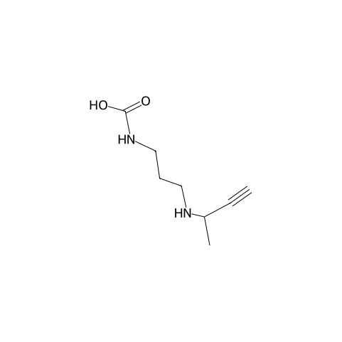 C#CC(C)NCCCNC(=O)O